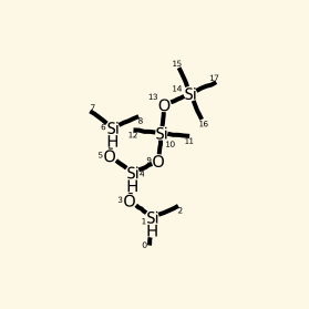 C[SiH](C)O[SiH](O[SiH](C)C)O[Si](C)(C)O[Si](C)(C)C